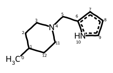 CC1CCN(Cc2ccc[nH]2)CC1